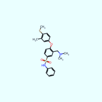 CSc1ccc(Oc2ccc(S(=O)(=O)Nc3ccccc3)cc2CN(C)C)cc1C